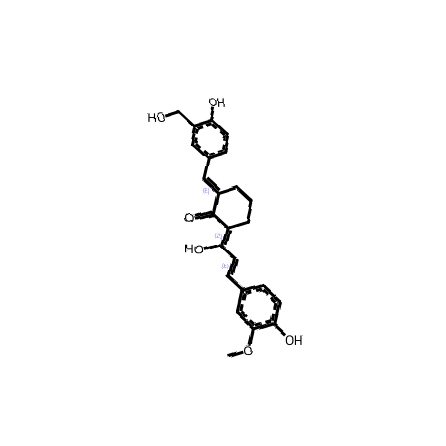 COc1cc(/C=C/C(O)=C2\CCC/C(=C\c3ccc(O)c(CO)c3)C2=O)ccc1O